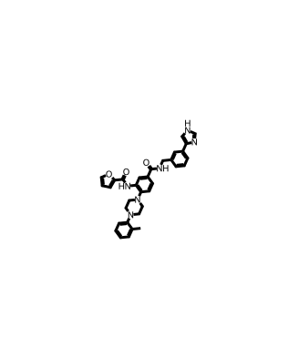 Cc1ccccc1N1CCN(c2ccc(C(=O)NCc3cccc(-c4c[nH]cn4)c3)cc2NC(=O)c2ccco2)CC1